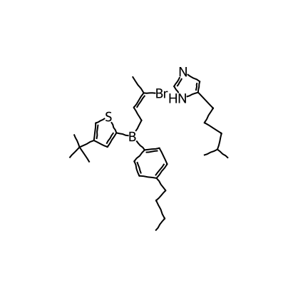 CC(C)CCCc1cnc[nH]1.CCCCc1ccc(B(CC=C(C)Br)c2cc(C(C)(C)C)cs2)cc1